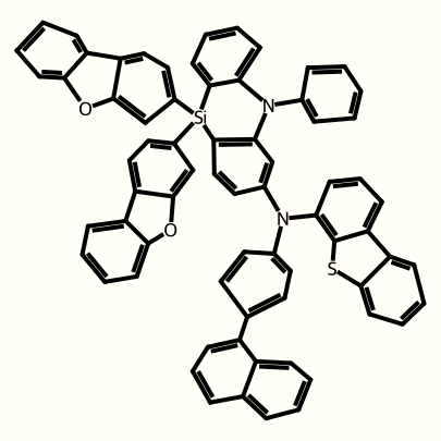 c1ccc(N2c3ccccc3[Si](c3ccc4c(c3)oc3ccccc34)(c3ccc4c(c3)oc3ccccc34)c3ccc(N(c4ccc(-c5cccc6ccccc56)cc4)c4cccc5c4sc4ccccc45)cc32)cc1